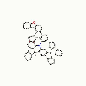 CC1(C)c2ccccc2-c2cccc(N(c3ccc4c(c3)C(c3ccccc3)(c3ccccc3)c3ccccc3-4)c3cccc4c5ccc6oc7ccccc7c6c5c5ccccc5c34)c21